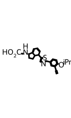 C#Cc1cc(-c2ncc(C3C=CC=C4C3CC[C@@H]4NCC(=O)O)s2)ccc1OC(C)C